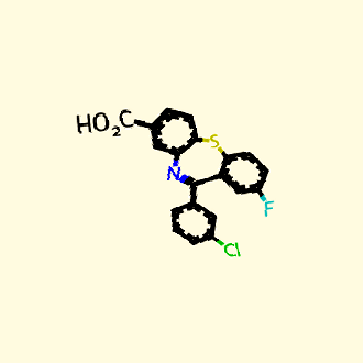 O=C(O)c1ccc2c(c1)N=C(c1cccc(Cl)c1)c1cc(F)ccc1S2